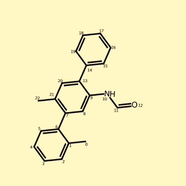 Cc1ccccc1-c1cc(NC=O)c(-c2ccccc2)cc1C